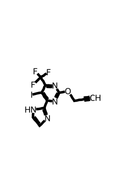 C#CCOc1nc(-c2ncc[nH]2)c(I)c(C(F)(F)F)n1